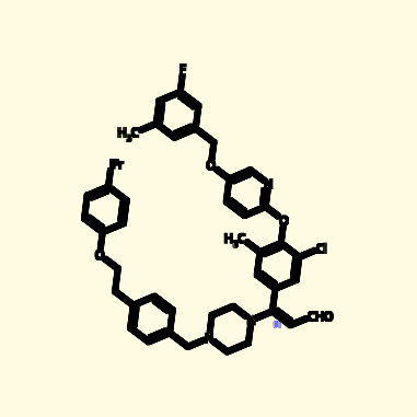 Cc1cc(F)cc(COc2ccc(Oc3c(C)cc(/C(=C\C=O)N4CCN(Cc5ccc(CCOc6ccc(C(C)C)cc6)cc5)CC4)cc3Cl)nc2)c1